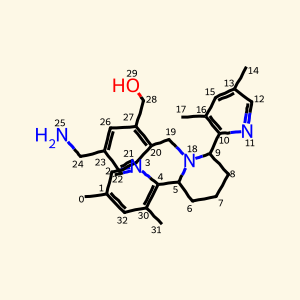 Cc1cnc(C2CCCC(c3ncc(C)cc3C)N2Cc2ccc(CN)cc2CO)c(C)c1